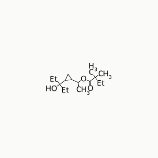 CCC(C)(C)C(=O)OC(C)C1CC1C(O)(CC)CC